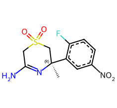 C[C@@]1(c2cc([N+](=O)[O-])ccc2F)CS(=O)(=O)CC(N)=N1